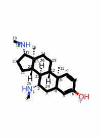 CN[C@H]1CC2C=C(O)C=C[C@]2(C)[C@H]2CC[C@]3(C)[C@@H](NC)CC[C@H]3[C@H]12